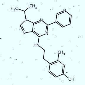 Cc1cc(O)ccc1CCNc1nc(-c2cccnc2)nc2c1ncn2C(C)C